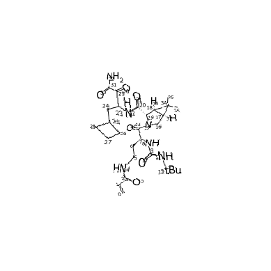 C=CC(=O)NCC[C@H](NC(=O)NC(C)(C)C)C(=O)N1C[C@H]2[C@@H]([C@H]1C(=O)NC(CC1CCC1)C(=O)C(N)=O)C2(C)C